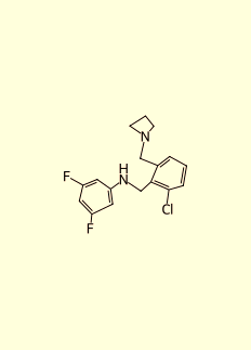 Fc1cc(F)cc(NCc2c(Cl)cccc2CN2CCC2)c1